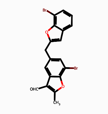 Cc1oc2c(Br)cc(Cc3cc4cccc(Br)c4o3)cc2c1C=O